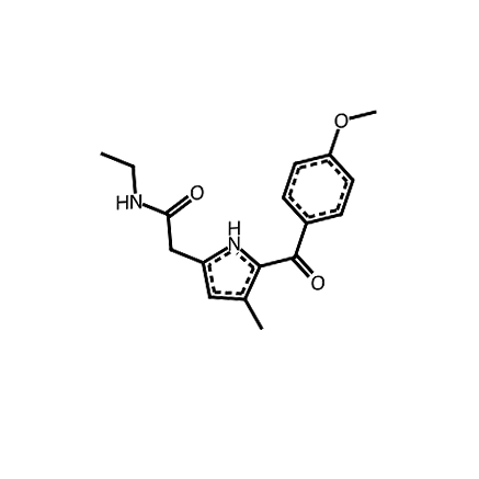 CCNC(=O)Cc1cc(C)c(C(=O)c2ccc(OC)cc2)[nH]1